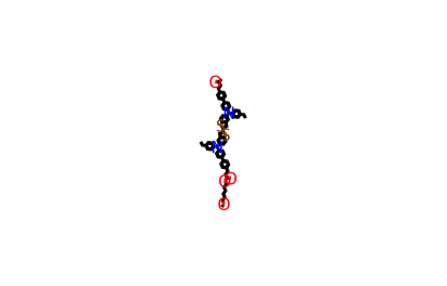 CCc1ccc(N(c2ccc(-c3ccc(CCC(C)=O)cc3)cc2)c2ccc3sc(-c4cc5cc(N(c6ccc(CC)cc6)c6ccc(-c7ccc(CCC(=O)OCCCCCCOC)cc7)cc6)ccc5s4)cc3c2)cc1